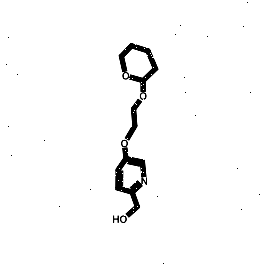 OCc1ccc(OCCOC2CCCCO2)cn1